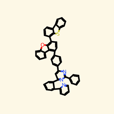 c1ccc(-c2nc(-c3ccc(-c4ccc(-c5cccc6c5sc5ccccc56)c5oc6ccccc6c45)cc3)cc(-c3ccccc3-c3ccccn3)n2)cc1